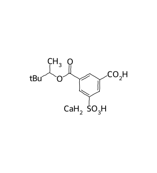 CC(OC(=O)c1cc(C(=O)O)cc(S(=O)(=O)O)c1)C(C)(C)C.[CaH2]